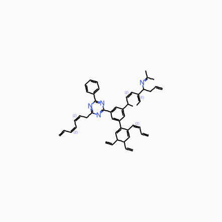 C=C/C=C\C=C/Cc1nc(-c2ccccc2)nc(-c2cc(C3=CC(C=C)C(C=C)C=C3/C=C\C=C)cc(C(C)/C=C\C(=C/C)C(CC=C)N=C(C)C)c2)n1